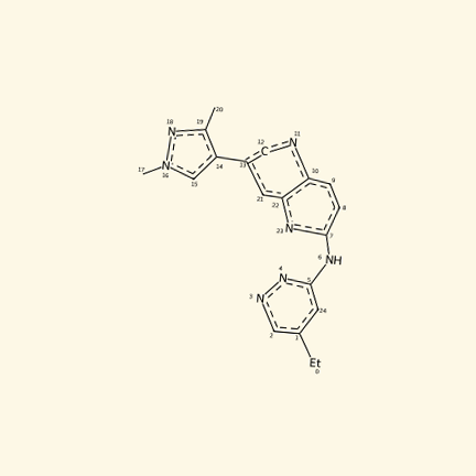 CCc1cnnc(Nc2ccc3ncc(-c4cn(C)nc4C)cc3n2)c1